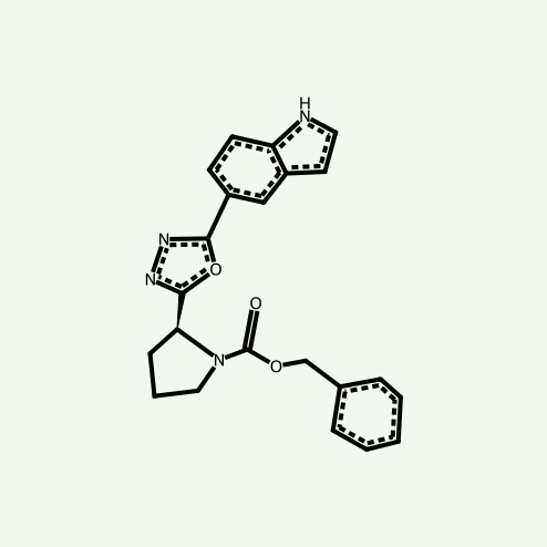 O=C(OCc1ccccc1)N1CCC[C@H]1c1nnc(-c2ccc3[nH]ccc3c2)o1